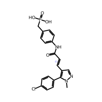 Cn1ncc(/C=C/C(=O)Nc2ccc(CP(=O)(O)O)cc2)c1-c1ccc(Cl)cc1